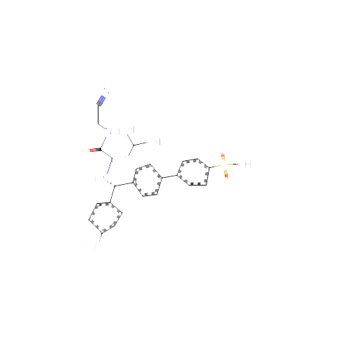 CC(C)C[C@H](N[C@H](c1ccc(F)cc1)c1ccc(-c2ccc(S(C)(=O)=O)cc2)cc1)C(=O)NCC#N